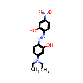 CCN(CC)c1ccc(/N=N/c2ccc([N+](=O)[O-])cc2O)c(O)c1